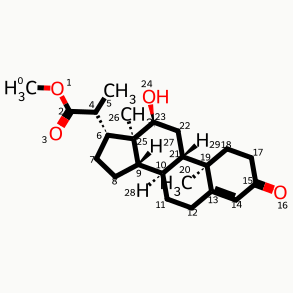 COC(=O)C(C)[C@H]1CC[C@H]2[C@@H]3CCC4=CC(=O)CC[C@]4(C)[C@H]3C[C@H](O)[C@]12C